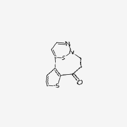 O=C1CCN2N=CC=C(S2)c2ccsc21